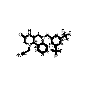 N#CCN1CC(=O)NC(COCc2cc(C(F)(F)F)cc(C(F)(F)F)c2)C1c1ccccc1